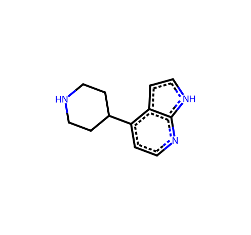 c1cc(C2CCNCC2)c2cc[nH]c2n1